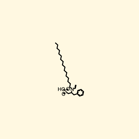 C=CN(CCCCCCCCCCCCCCCCC)C(Cc1ccccc1)CS(=O)(=O)O